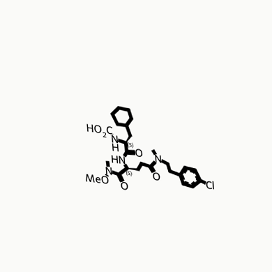 CON(C)C(=O)[C@H](CCC(=O)N(C)CCc1ccc(Cl)cc1)NC(=O)[C@H](CC1CCCCC1)NC(=O)O